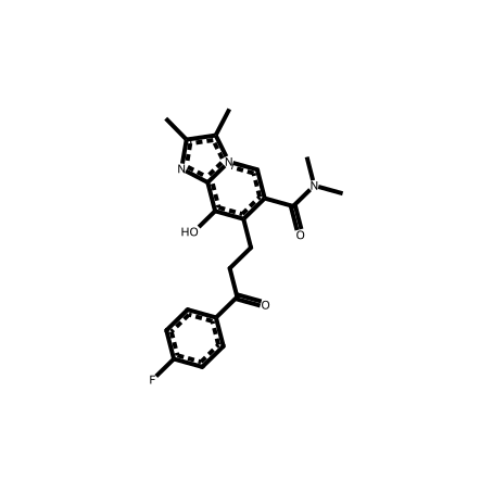 Cc1nc2c(O)c(CCC(=O)c3ccc(F)cc3)c(C(=O)N(C)C)cn2c1C